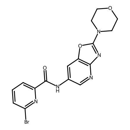 O=C(Nc1cnc2nc(N3CCOCC3)oc2c1)c1cccc(Br)n1